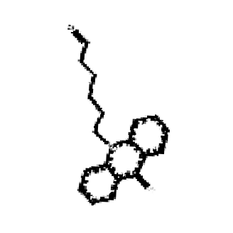 O=[C]CCCCCn1c2ccccc2c(=O)c2ccccc21